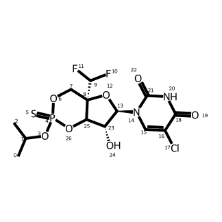 CC(C)OP1(=S)OC[C@@]2(C(F)F)O[C@@H](n3cc(Cl)c(=O)[nH]c3=O)[C@H](O)C2O1